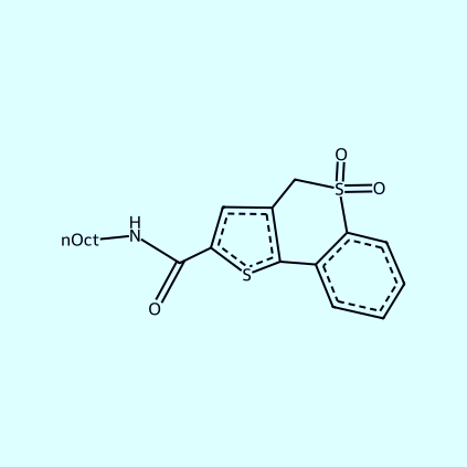 CCCCCCCCNC(=O)c1cc2c(s1)-c1ccccc1S(=O)(=O)C2